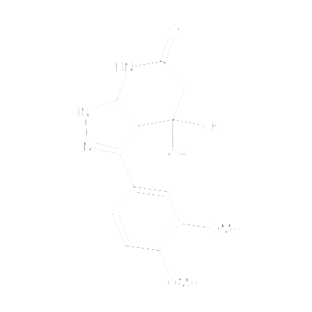 COc1ccc(-c2n[nH]c3c2C(O)(C(F)(F)F)CC(=O)N3)cc1OC